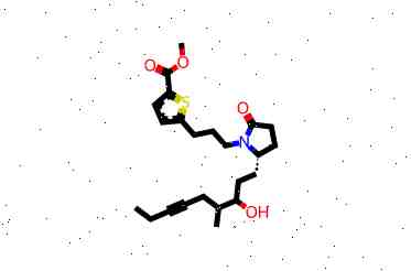 CCC#CCC(C)C(O)CC[C@H]1CCC(=O)N1CCCc1ccc(C(=O)OC)s1